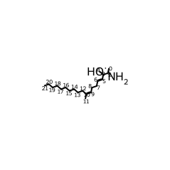 [CH2]C(N)C(O)C=CCCC=C(C)CCCCCCCCCC